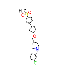 CS(=O)(=O)c1ccc(-c2ccc(OCC3CCN(Cc4cccc(Cl)c4)CC3)cc2)cc1